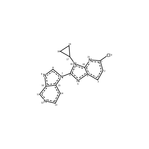 Clc1ccc2nc(-n3cnc4cnccc43)n(C3CC3)c2n1